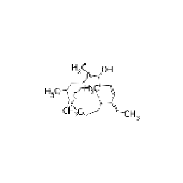 C=C(/C=C\C(=C/C)C1CCCCCCCC1)C(O)N(C)CCC(C)CC